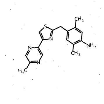 Cc1cnc(-c2csc(Cc3cc(C)c(N)cc3C)n2)cn1